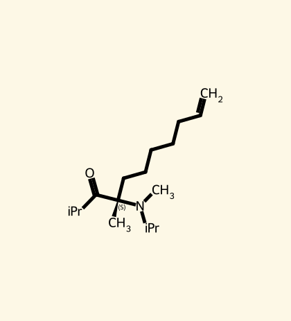 C=CCCCCC[C@@](C)(C(=O)C(C)C)N(C)C(C)C